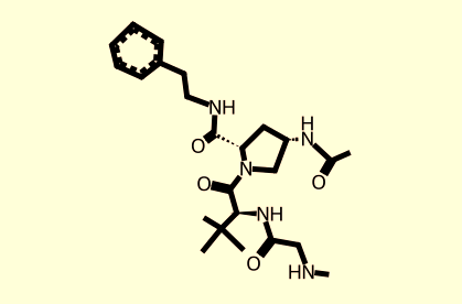 CNCC(=O)N[C@H](C(=O)N1C[C@@H](NC(C)=O)C[C@H]1C(=O)NCCc1ccccc1)C(C)(C)C